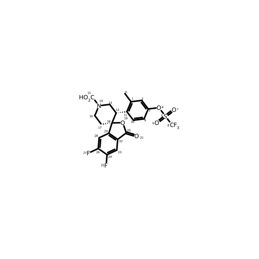 Cc1cc(OS(=O)(=O)C(F)(F)F)ccc1[C@H]1CN(C(=O)O)CC[C@@]12OC(=O)c1cc(F)c(F)cc12